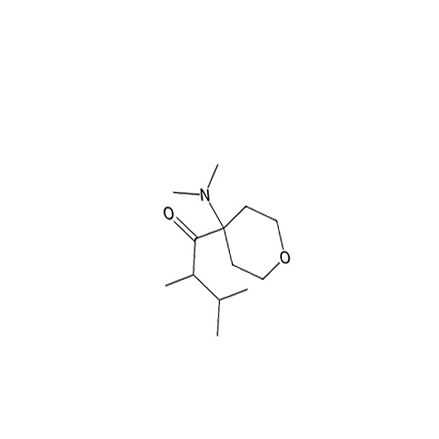 CC(C)C(C)C(=O)C1(N(C)C)CCOCC1